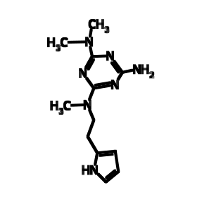 CN(C)c1nc(N)nc(N(C)CCc2ccc[nH]2)n1